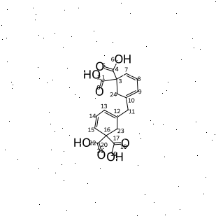 O=C(O)C1(C(=O)O)C=CC=C(CC2=CC=CC(C(=O)O)(C(=O)O)C2)C1